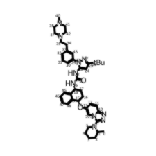 CC1CCCCN1c1nnc2ccc(O[C@@H]3CC[C@H](NC(=O)Nc4cc(C(C)(C)C)nn4-c4cccc(CCN5CCN(C)CC5)c4)c4ccccc43)cn12